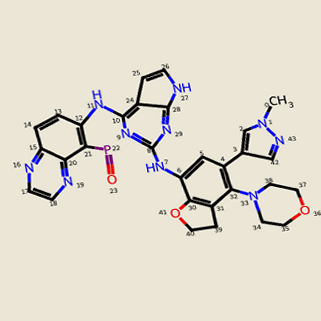 Cn1cc(-c2cc(Nc3nc(Nc4ccc5nccnc5c4P=O)c4cc[nH]c4n3)c3c(c2N2CCOCC2)CCO3)cn1